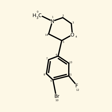 CN1CCOC(c2ccc(Br)c(F)c2)C1